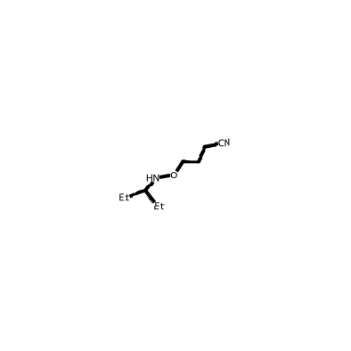 CCC(CC)NOCCCC#N